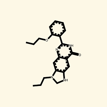 CCCOc1ccccc1-c1nc2cc3c(cc2c(=O)[nH]1)NCN3CCC